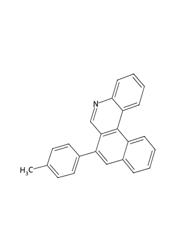 Cc1ccc(-c2cc3ccccc3c3c2cnc2ccccc23)cc1